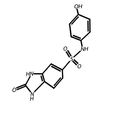 O=c1[nH]c2ccc(S(=O)(=O)Nc3ccc(O)cc3)cc2[nH]1